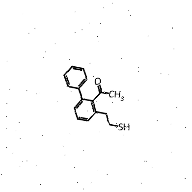 CC(=O)c1c(CCS)cccc1-c1ccccc1